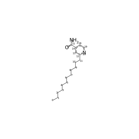 CCCCCCCCCCCCc1cc(C(N)=O)ccn1